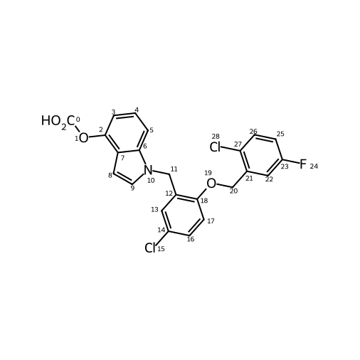 O=C(O)Oc1cccc2c1ccn2Cc1cc(Cl)ccc1OCc1cc(F)ccc1Cl